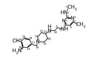 CNc1nc(C)cc(NCCNC2CCN(Cc3ccc(Cl)c(N)c3)CC2)n1